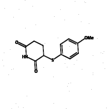 COc1ccc(SC2CCC(=O)NC2=O)cc1